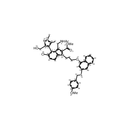 COC(=O)c1c(CNC(C)=O)c2c(-c3c(CO)nn(C)c3C)c(Cl)ccc2n1CCCOc1cc(SCc2ccc(OC)cc2)cc2ccccc12